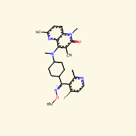 Cc1nccc(F)c1/C(=N\OC(C)(C)C)C1CCC(N(C)c2c(C#N)c(=O)n(C)c3ccc(C#N)nc23)CC1